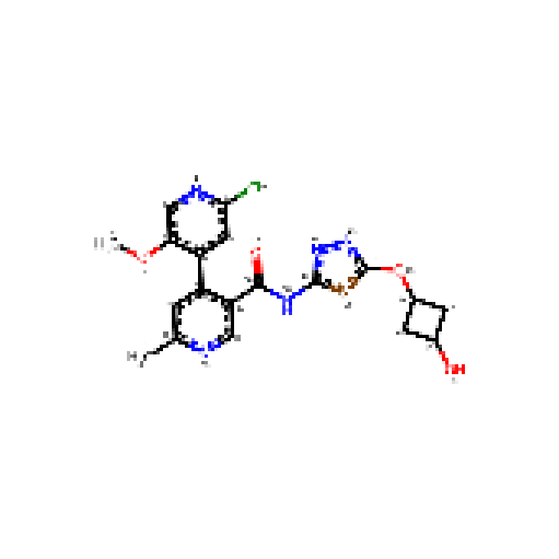 COc1cnc(Cl)cc1-c1cc(C)ncc1C(=O)Nc1nnc(OC2CC(O)C2)s1